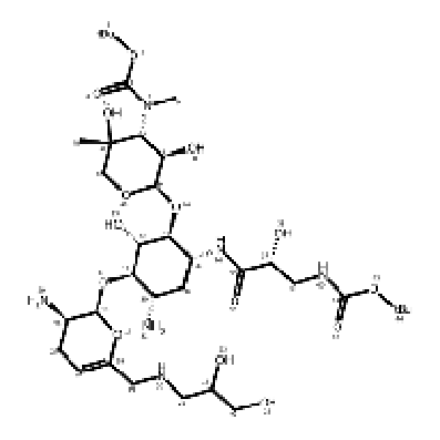 CN(C(=O)OC(C)(C)C)[C@@H]1[C@@H](O)[C@@H](O[C@@H]2[C@@H](O)[C@H](O[C@H]3OC(CNCC(O)CO)=CC[C@H]3N)[C@@H](N)C[C@H]2NC(=O)[C@H](O)CNC(=O)OC(C)(C)C)OC[C@]1(C)O